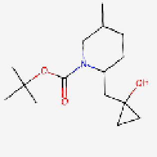 CC1CCC(CC2(O)CC2)N(C(=O)OC(C)(C)C)C1